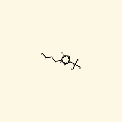 CCSCc1cc(C(C)(C)C)cs1